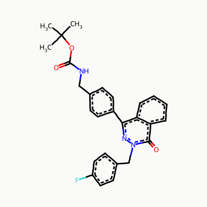 CC(C)(C)OC(=O)NCc1ccc(-c2nn(Cc3ccc(F)cc3)c(=O)c3ccccc23)cc1